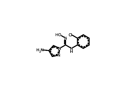 Nc1cnn(C(=NO)Nc2ccccc2Cl)c1